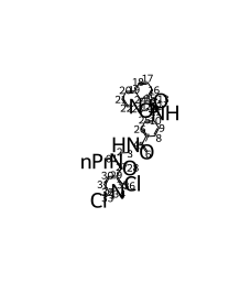 CCCN(CCNC(=O)c1ccc(NS(=O)(=O)c2cccc3cccnc23)cc1)C(=O)c1ccc(Cl)nc1Cl